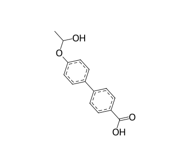 CC(O)Oc1ccc(-c2ccc(C(=O)O)cc2)cc1